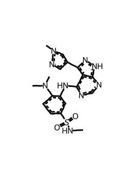 CNS(=O)(=O)c1ccc(N(C)C)c(Nc2ncnc3[nH]nc(-c4cnn(C)c4)c23)c1